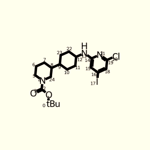 CC(C)(C)OC(=O)N1CCCC(C2CCC(Nc3cc(I)cc(Cl)n3)CC2)C1